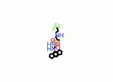 CC(CNCCC(F)(F)F)S(=O)(=O)NC(=O)Nc1c2c(cc3c1CCC3)CCC2